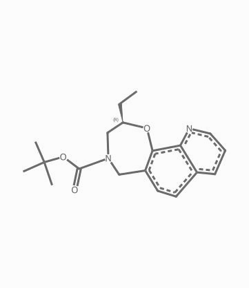 CC[C@@H]1CN(C(=O)OC(C)(C)C)Cc2ccc3cccnc3c2O1